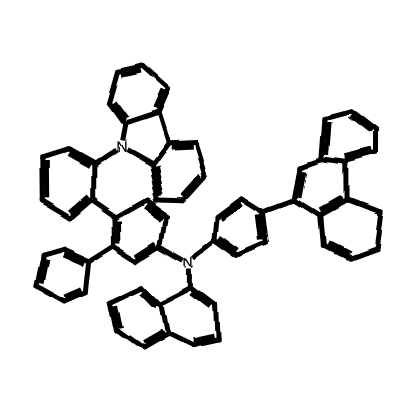 C1=Cc2c(-c3ccc(N(c4ccc(-c5ccccc5-n5c6ccccc6c6ccccc65)c(-c5ccccc5)c4)c4cccc5ccccc45)cc3)cc3ccccc3c2CC1